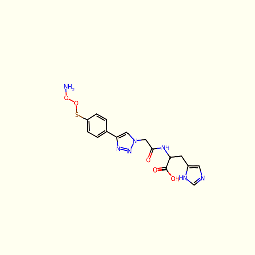 NOOSc1ccc(-c2cn(CC(=O)NC(Cc3cnc[nH]3)C(=O)O)nn2)cc1